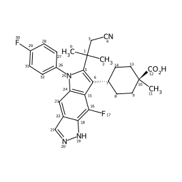 CC(C)(CC#N)c1c([C@H]2CC[C@](C)(C(=O)O)CC2)c2c(F)c3[nH]ncc3cc2n1-c1ccc(F)cc1